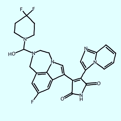 O=C1NC(=O)C(c2cnc3ccccn23)=C1c1cn2c3c(cc(F)cc13)CN(C(O)N1CCC(F)(F)CC1)CC2